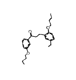 CCCCOc1cccc(C(=O)CCc2cc(CC)ccc2OCCCC)c1